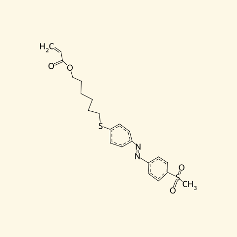 C=CC(=O)OCCCCCCSc1ccc(/N=N/c2ccc(S(C)(=O)=O)cc2)cc1